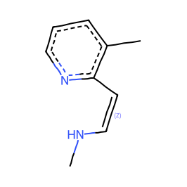 CN/C=C\c1ncccc1C